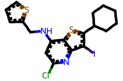 Clc1cc(NCc2cccs2)c2sc(C3CCCCC3)c(I)c2n1